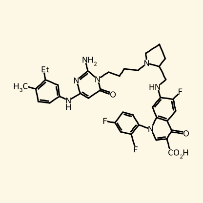 CCc1cc(Nc2cc(=O)n(CCCCN3CCCC3CNc3cc4c(cc3F)c(=O)c(C(=O)O)cn4-c3ccc(F)cc3F)c(N)n2)ccc1C